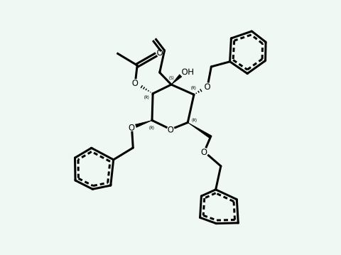 C=CC[C@]1(O)[C@H](OCc2ccccc2)[C@@H](COCc2ccccc2)O[C@@H](OCc2ccccc2)[C@@H]1OC(C)=O